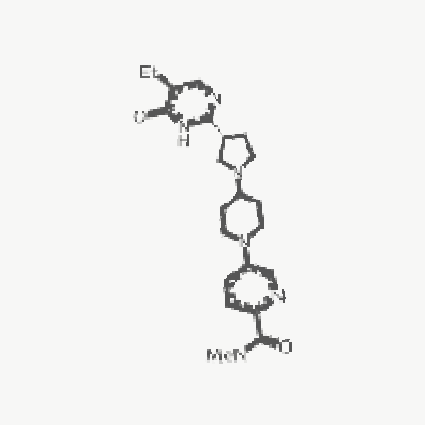 CCc1cnc([C@@H]2CCN(C3CCN(c4ccc(C(=O)NC)nc4)CC3)C2)[nH]c1=O